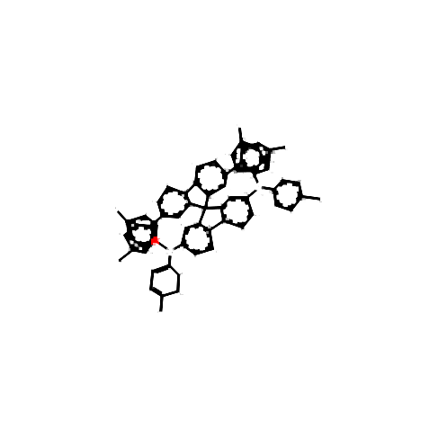 CC1=CC=C(N(c2ccc(C)cc2)c2ccc3c(c2)C2(c4cc(-c5ccc(C)cc5)ccc4-c4ccc(-c5ccc(C)cc5)cc42)c2cc(N(c4ccc(C)cc4)c4ccc(C)cc4)ccc2-3)CC1